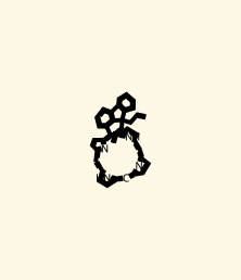 C=CCC1(CC=C)c2ccccc2-c2cccc(-c3c4nc(cc5ccc(cc6nc(cc7ccc3[nH]7)C=C6)[nH]5)C=C4)c21